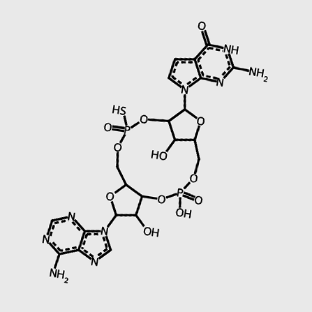 Nc1nc2c(ccn2C2OC3COP(=O)(O)OC4C(COP(=O)(S)OC2C3O)OC(n2cnc3c(N)ncnc32)C4O)c(=O)[nH]1